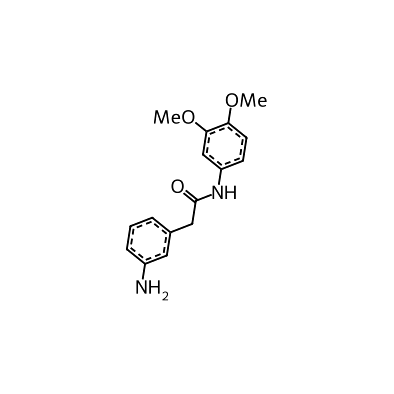 COc1ccc(NC(=O)Cc2cccc(N)c2)cc1OC